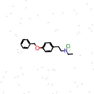 CCN(Cl)CCc1ccc(OCc2ccccc2)cc1